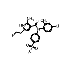 Cc1cc(Cl)ccc1N(C(=O)c1cc(CCF)[nH]c1C)c1ccc(S(C)(=O)=O)cc1